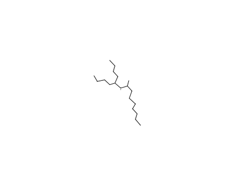 CCCCCCCC(C)[CH]C(CCCC)CCCC